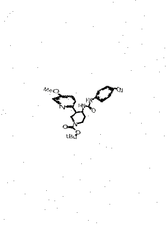 COc1ccc(C2CN(C(=O)OC(C)(C)C)CCC2NC(=O)Nc2ccc(C#N)cc2)nc1